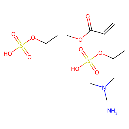 C=CC(=O)OC.CCOS(=O)(=O)O.CCOS(=O)(=O)O.CN(C)C.N